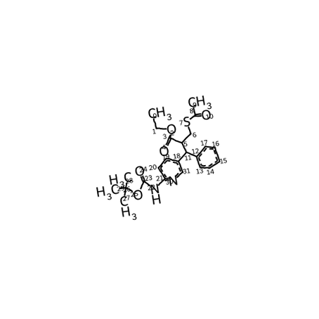 CCOC(=O)C(CSC(C)=O)C(c1ccccc1)c1ccc(NC(=O)OC(C)(C)C)nc1